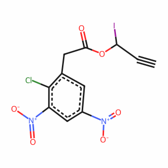 C#CC(I)OC(=O)Cc1cc([N+](=O)[O-])cc([N+](=O)[O-])c1Cl